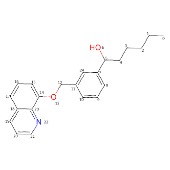 CCCCCC(O)c1cccc(COc2cccc3cccnc23)c1